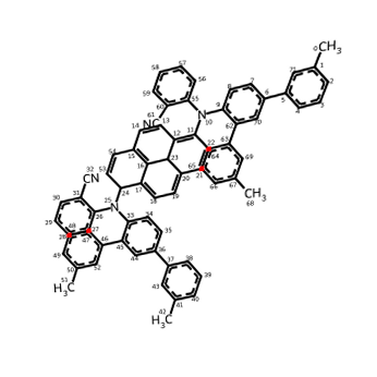 Cc1cccc(-c2ccc(N(C3=C4C=CC5=C6C(=CC=C(C=C3)C46)C(N(c3ccccc3C#N)c3ccc(-c4cccc(C)c4)cc3-c3cccc(C)c3)C=C5)c3ccccc3C#N)c(-c3cccc(C)c3)c2)c1